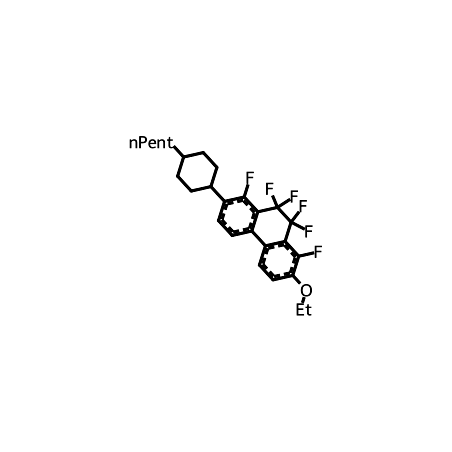 CCCCCC1CCC(c2ccc3c(c2F)C(F)(F)C(F)(F)c2c-3ccc(OCC)c2F)CC1